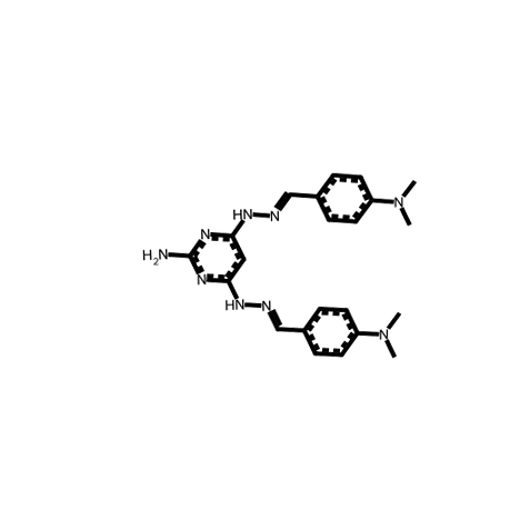 CN(C)c1ccc(C=NNc2cc(NN=Cc3ccc(N(C)C)cc3)nc(N)n2)cc1